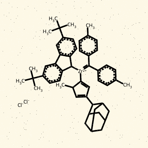 Cc1ccc([C](c2ccc(C)cc2)=[Zr+2]([C]2=CC(C3C4CC5CC(C4)CC3C5)=CC2C)[CH]2c3ccc(C(C)(C)C)cc3-c3cc(C(C)(C)C)ccc32)cc1.[Cl-].[Cl-]